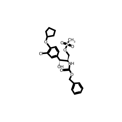 CS(=O)(=O)OC[C@@H](NC(=O)OCc1ccccc1)[C@H](O)c1ccc(OC2CCCC2)c(Cl)c1